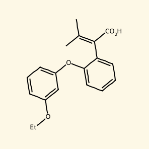 CCOc1cccc(Oc2ccccc2C(C(=O)O)=C(C)C)c1